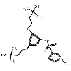 Cn1cc(S(=O)(=O)Nc2nc(OCCC(C)(C)O)cc(OCCC(C)(C)O)n2)cn1